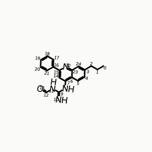 CCCc1ccc2c(NC(=N)NC=O)cc(-c3ccccc3)nc2c1